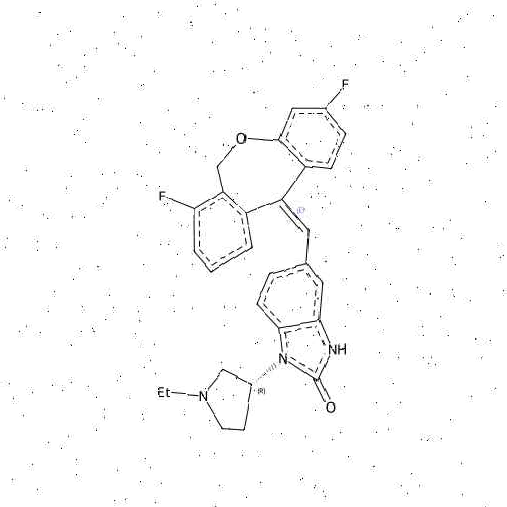 CCN1CC[C@@H](n2c(=O)[nH]c3cc(/C=C4/c5ccc(F)cc5OCc5c(F)cccc54)ccc32)C1